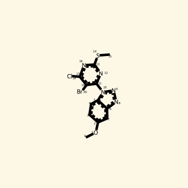 COc1ccc2c(c1)nnn2-c1nc(SC)nc(Cl)c1Br